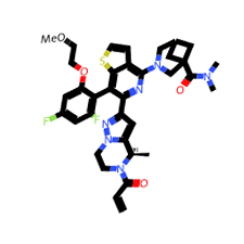 C=CC(=O)N1CCn2nc(-c3nc(N4CC5CC(C(=O)N(C)C)(C5)C4)c4ccsc4c3-c3c(F)cc(F)cc3OCCOC)cc2[C@H]1C